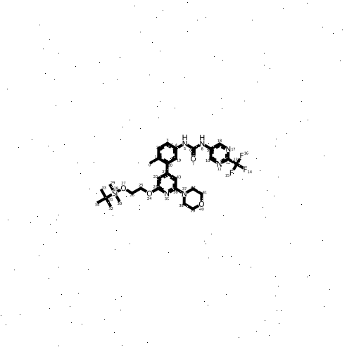 Cc1ccc(NC(=O)Nc2cnc(C(F)(F)F)nc2)cc1-c1cc(OCCO[Si](C)(C)C(C)(C)C)nc(N2CCOCC2)c1